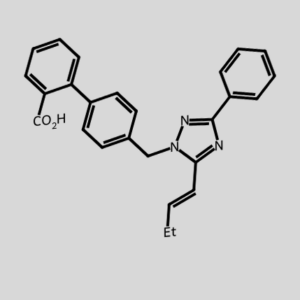 CC/C=C/c1nc(-c2ccccc2)nn1Cc1ccc(-c2ccccc2C(=O)O)cc1